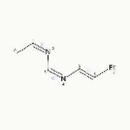 C\C=N/C=N\C=C\CC